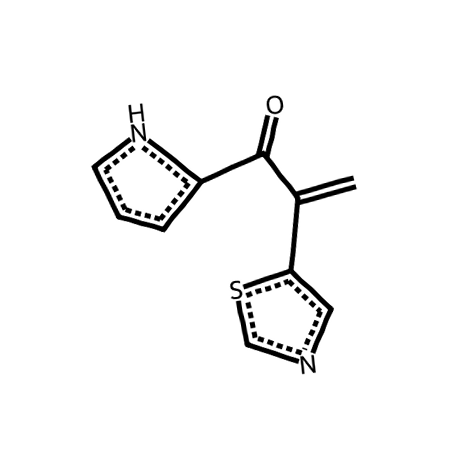 C=C(C(=O)c1ccc[nH]1)c1cncs1